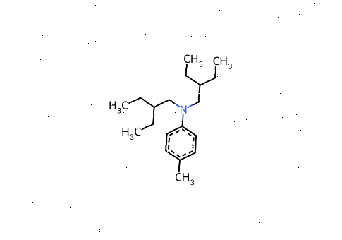 CCC(CC)CN(CC(CC)CC)c1ccc(C)cc1